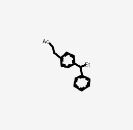 CCC(c1ccccc1)c1ccc(CCC(C)=O)cc1